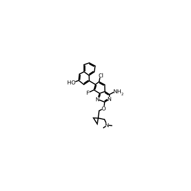 CN(C)CC1(COc2nc(N)c3cc(Cl)c(-c4cc(O)cc5ccccc45)c(F)c3n2)CC1